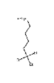 CCCCCCCCCCC[N+](CC)(CC)CC